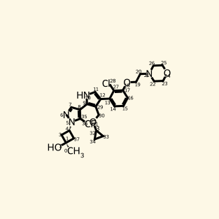 C[C@]1(O)C[C@H](n2ncc(-c3[nH]cc(-c4cccc(OCCN5CCOCC5)c4Cl)c3COC3CC3)c2C(F)(F)F)C1